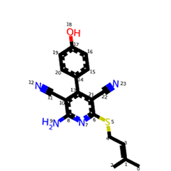 CC(C)=CCSc1nc(N)c(C#N)c(-c2ccc(O)cc2)c1C#N